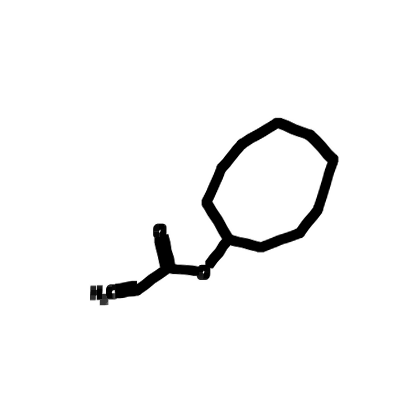 C=CC(=O)OC1CCCCCCCCC1